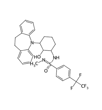 CN=S(=O)(NC1CCCC(N2c3ccccc3CCc3ccccc32)C1O)c1ccc(C(F)(F)C(F)(F)F)cc1